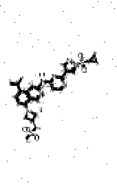 CC(C)c1ccc(N2C[C@H](CS(C)(=O)=O)[C@H]2C)c2cnc(Nc3ccnc(-c4cnn(S(=O)(=O)C5CC5)c4)n3)cc12